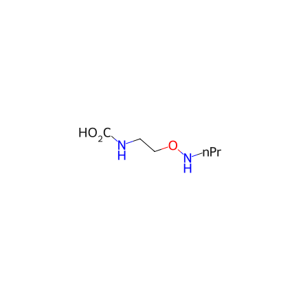 CCCNOCCNC(=O)O